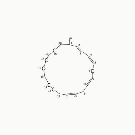 CC1/C=C/C=C\C/C=C\C/C=C\CCCCOCCCC1